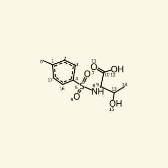 Cc1ccc(S(=O)(=O)N[C@H](C(=O)O)C(C)O)cc1